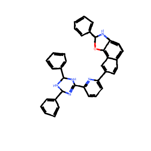 c1ccc(C2N=C(c3cccc(-c4ccc5ccc6c(c5c4)OC(c4ccccc4)N6)n3)NC(c3ccccc3)N2)cc1